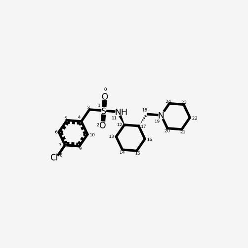 O=S(=O)(Cc1ccc(Cl)cc1)N[C@@H]1CCCC[C@H]1CN1CCCCC1